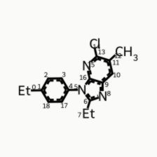 [CH2]Cc1ccc(-n2c(CC)nc3cc(C)c(Cl)nc32)cc1